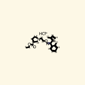 CCOC(=O)[C@H]1CCCN(CCO/N=C(/c2ccccc2C)c2sccc2C)C1.Cl